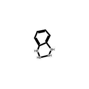 B1BBc2ccccc2B1